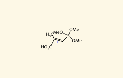 CO[Si](/C=C(\C)C(=O)O)(OC)OC